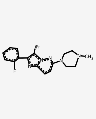 CC(C)c1c(-c2ccccc2F)nc2ccc(N3CCN(C)CC3)nn12